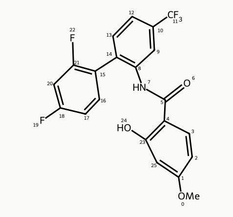 COc1ccc(C(=O)Nc2cc(C(F)(F)F)ccc2-c2ccc(F)cc2F)c(O)c1